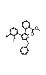 COC(=O)c1ccccc1-c1sc(Cc2ccccc2)cc1-c1cccc(F)c1F